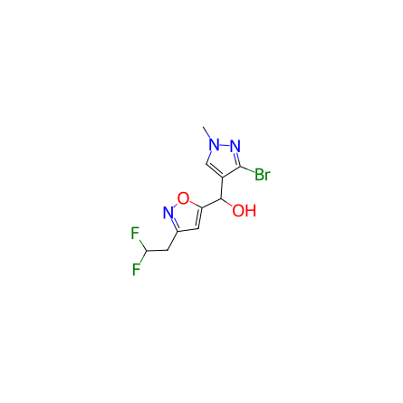 Cn1cc(C(O)c2cc(CC(F)F)no2)c(Br)n1